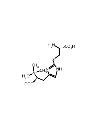 C[N+](C)(C)[C@@H](Cc1c[nH]c(SC[C@H](N)C(=O)O)n1)C(=O)[O-]